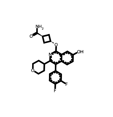 NC(=O)[C@H]1C[C@H](Oc2nc(C3CCOCC3)c(-c3ccc(F)c(F)c3)c3ccc(O)cc23)C1